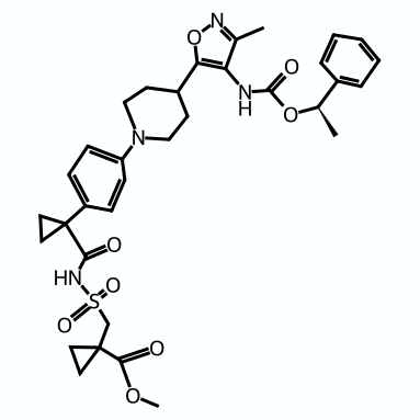 COC(=O)C1(CS(=O)(=O)NC(=O)C2(c3ccc(N4CCC(c5onc(C)c5NC(=O)O[C@H](C)c5ccccc5)CC4)cc3)CC2)CC1